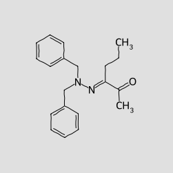 CCC/C(=N\N(Cc1ccccc1)Cc1ccccc1)C(C)=O